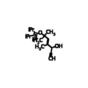 C#C[C@H](O)/C(C)=C/C(C)(C)O[Si](C(C)C)(C(C)C)C(C)C